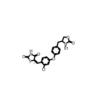 CCN1C(=O)OCC1Cc1ccc(Oc2ccc(/C=C3/SC(=O)NC3=O)c(Cl)c2)cc1